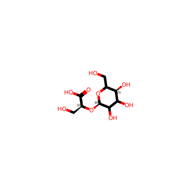 O=C(O)[C@H](CO)O[C@H]1OC(CO)[C@@H](O)C(O)C1O